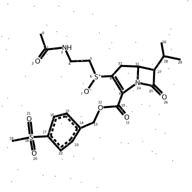 CC(=O)NCC[S+]([O-])C1=C(C(=O)OCc2ccc(S(C)(=O)=O)cc2)N2C(=O)C(C(C)C)C2C1